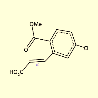 COC(=O)c1ccc(Cl)cc1/C=C/C(=O)O